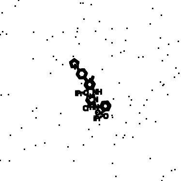 Cc1cc(Nc2ncc(Cl)c(Nc3ccccc3S(=O)(=O)C(C)C)n2)c(OC(C)C)cc1C1CCC(N2CCCC2)CC1